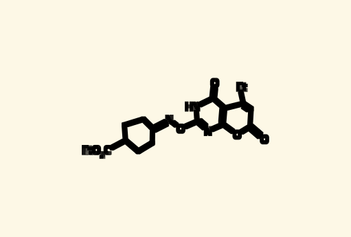 CCOC(=O)C1CCC(=NOc2nc3oc(=O)cc(CC)c3c(=O)[nH]2)CC1